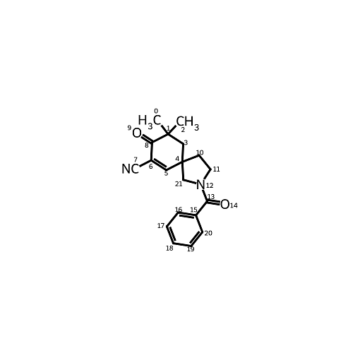 CC1(C)CC2(C=C(C#N)C1=O)CCN(C(=O)c1ccccc1)C2